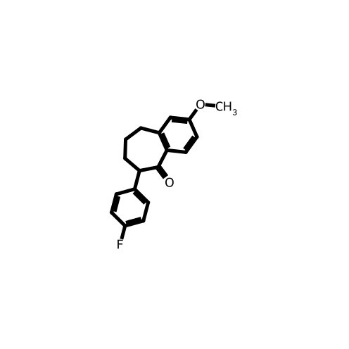 COc1ccc2c(c1)CCCC(c1ccc(F)cc1)C2=O